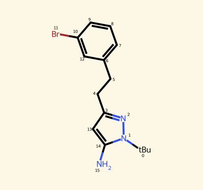 CC(C)(C)n1nc(CCc2cccc(Br)c2)cc1N